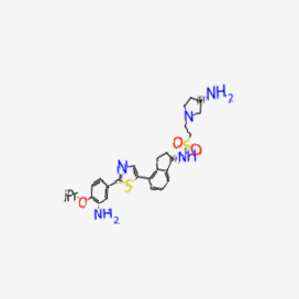 CC(C)Oc1ccc(-c2ncc(-c3cccc4c3CC[C@@H]4NS(=O)(=O)CCN3CC[C@H](N)C3)s2)cc1N